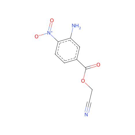 N#CCOC(=O)c1ccc([N+](=O)[O-])c(N)c1